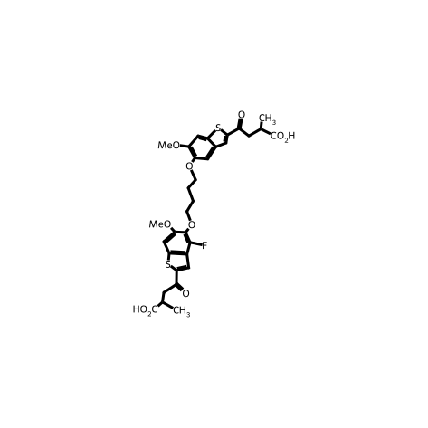 COc1cc2sc(C(=O)CC(C)C(=O)O)cc2cc1OCCCCOc1c(OC)cc2sc(C(=O)CC(C)C(=O)O)cc2c1F